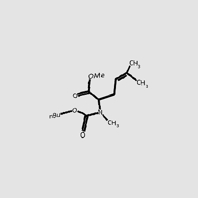 CCCCOC(=O)N(C)C(CC=C(C)C)C(=O)OC